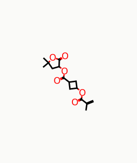 C=C(C)C(=O)OC1CC(C(=O)OC2CC(C)(C)OC2=O)C1